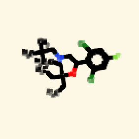 CC[Si](CC)(CC)OC(CNCC(C)(C)C)c1c(Cl)cc(F)cc1Cl